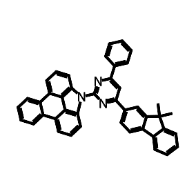 CC1(C)c2ccccc2-c2ccc(-c3cc(-c4ccccc4)nc(-n4c5cccc6c7ccccc7c7cccc4c7c65)n3)cc21